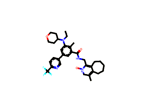 CCN(c1cc(-c2ccc(C(F)(F)F)nc2)cc(C(=O)NCC2=C3CCCCCC3=C(C)C[NH+]2[O-])c1C)C1CCOCC1